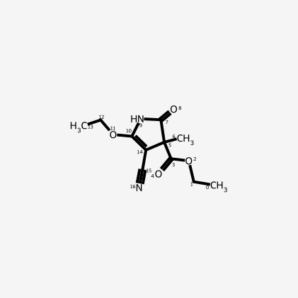 CCOC(=O)C1(C)C(=O)NC(OCC)=C1C#N